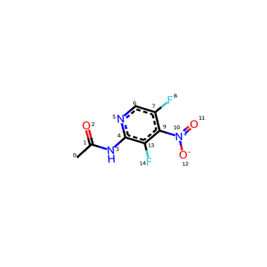 CC(=O)Nc1ncc(F)c([N+](=O)[O-])c1F